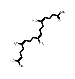 CC(=O)CCC=C(C)CCC=C(C)CCC=C(C)CCC=C(C)C